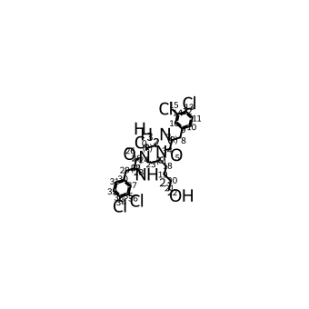 C[C@@H]1CN(C(=O)[C@H](N)Cc2ccc(Cl)c(Cl)c2)[C@@H](CCCCO)CN1C(=O)[C@H](N)Cc1ccc(Cl)c(Cl)c1